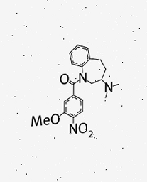 COc1cc(C(=O)N2CC(N(C)C)CCc3ccccc32)ccc1[N+](=O)[O-]